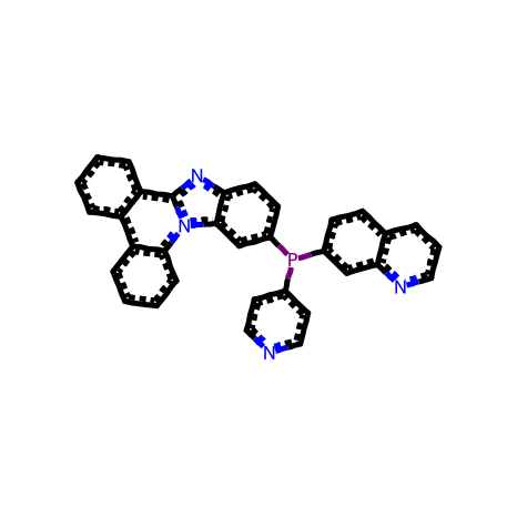 c1cnc2cc(P(c3ccncc3)c3ccc4nc5c6ccccc6c6ccccc6n5c4c3)ccc2c1